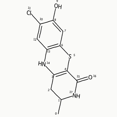 CC1CC2=C(Sc3cc(O)c(Cl)cc3N2)C(=O)N1